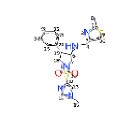 Cc1nc(CN[C@H]2CN(S(=O)(=O)c3cn(C)cn3)C[C@@H]2c2ccccc2)cs1